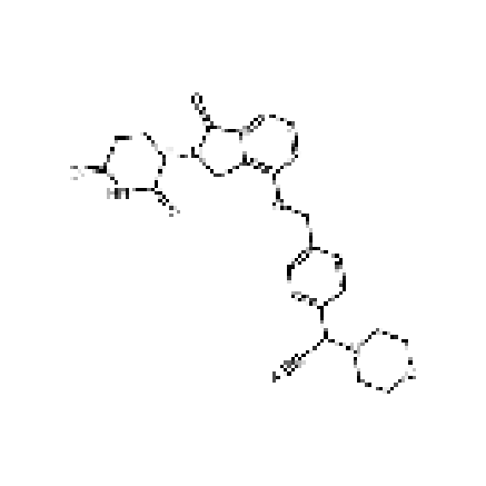 N#CC(c1ccc(COc2cccc3c2CN([C@H]2CCC(=O)NC2=O)C3=O)cc1)N1CCOCC1